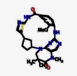 COc1cc2ccc1Nc1ncc3c(n1)N(CC(C)(C)C(=O)N3C)C1CCC(C1)c1cnc(s1)NC2=O